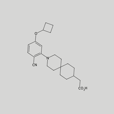 N#Cc1ccc(OC2CCC2)cc1N1CCC2(CCC(CC(=O)O)CC2)CC1